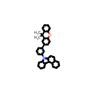 CC1(C)c2ccccc2Oc2ccc(-c3cccc(-n4c5ccccc5c5c6ccccc6ccc54)c3)cc21